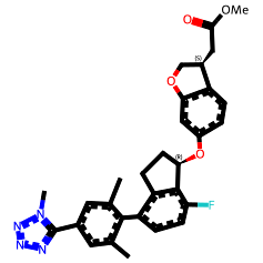 COC(=O)C[C@@H]1COc2cc(O[C@@H]3CCc4c(-c5c(C)cc(-c6nnnn6C)cc5C)ccc(F)c43)ccc21